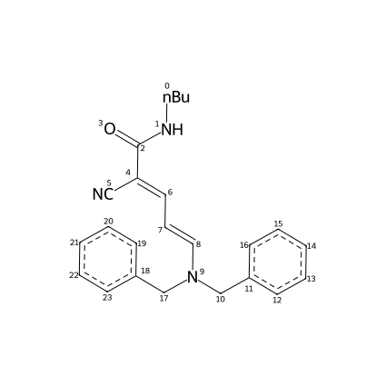 CCCCNC(=O)/C(C#N)=C/C=C/N(Cc1ccccc1)Cc1ccccc1